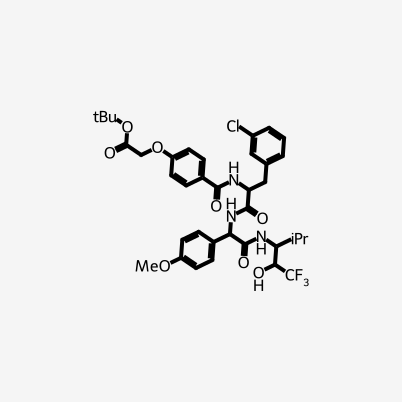 COc1ccc(C(NC(=O)C(Cc2cccc(Cl)c2)NC(=O)c2ccc(OCC(=O)OC(C)(C)C)cc2)C(=O)NC(C(C)C)C(O)C(F)(F)F)cc1